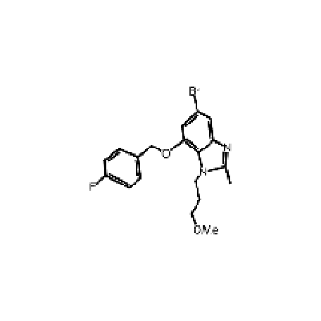 COCCCn1c(C)nc2cc(Br)cc(OCc3ccc(F)cc3)c21